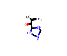 C=C(C)C(=O)C1NCNCN1